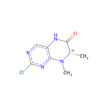 C[C@H]1C(=O)Nc2cnc(Cl)nc2N1C